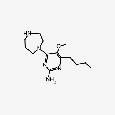 CCCCc1nc(N)nc(N2CCCNCC2)c1OC